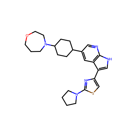 c1nc2[nH]cc(-c3csc(N4CCCC4)n3)c2cc1C1CCC(N2CCCOCC2)CC1